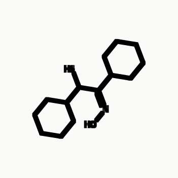 ON=C(C1CCCCC1)C(S)C1CCCCC1